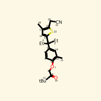 CCC(CC)(c1ccc(OCC(=O)C(C)(C)C)c(C)c1)c1cc(C)c(CC#N)s1